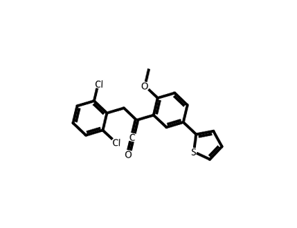 COc1ccc(-c2cccs2)cc1C(=C=O)Cc1c(Cl)cccc1Cl